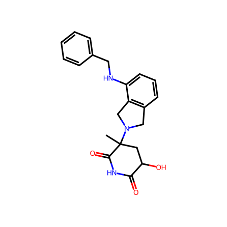 CC1(N2Cc3cccc(NCc4ccccc4)c3C2)CC(O)C(=O)NC1=O